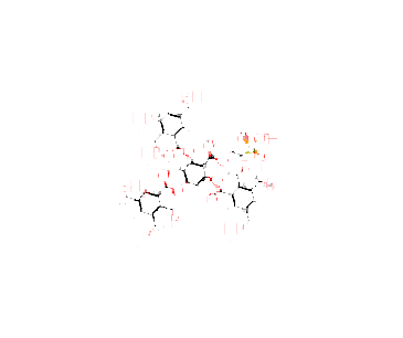 BCc1cc(B)c(CB)c(C(=O)Oc2cc(OC(=O)c3cc(CB)cc(CB)c3CB)cc(OC(=O)c3cc(CB)cc(CB)c3CB)c2C(=O)OCCS(=O)(=O)O)c1